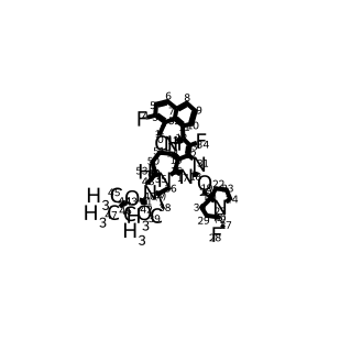 C#Cc1c(F)ccc2cccc(-c3nc4c5c(nc(OC[C@@]67CCCN6[C@H](CF)CC7)nc5c3F)N3C[C@@H](CC)N(C(=O)OC(C)(C)C)C[C@H]3CC4)c12